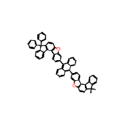 CC1(C)c2ccccc2-c2c1ccc1oc3cc(-c4c5ccccc5c(-c5ccc6c(c5)oc5ccc7c(c56)-c5ccccc5C7(c5ccccc5)c5ccccc5)c5ccccc45)ccc3c21